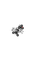 Cc1c(C)c(-c2nc(-c3ccccc3)nc(-c3ccccc3)n2)c(C)c(C)c1-c1ccc2c(c1)P(=O)(c1ccccc1)c1ccccc1O2